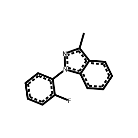 Cc1nn(-c2ccccc2F)c2ccccc12